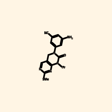 CSc1ncc2c(n1)N(C(C)C)C(=O)N(c1cc(N)cc(C#N)c1)C2